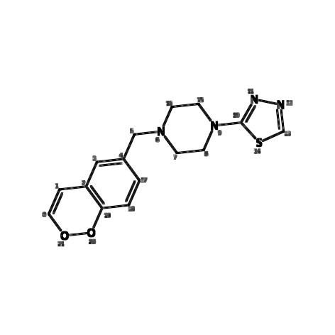 C1=Cc2cc(CN3CCN(c4nncs4)CC3)ccc2OO1